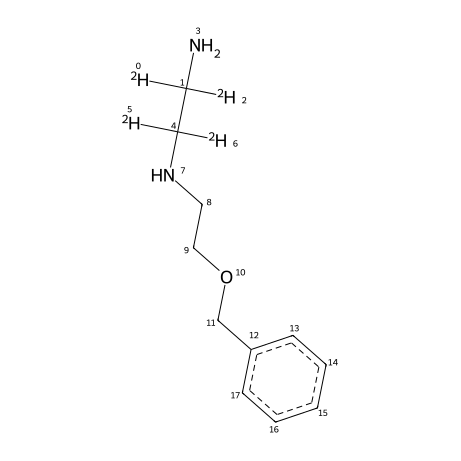 [2H]C([2H])(N)C([2H])([2H])NCCOCc1ccccc1